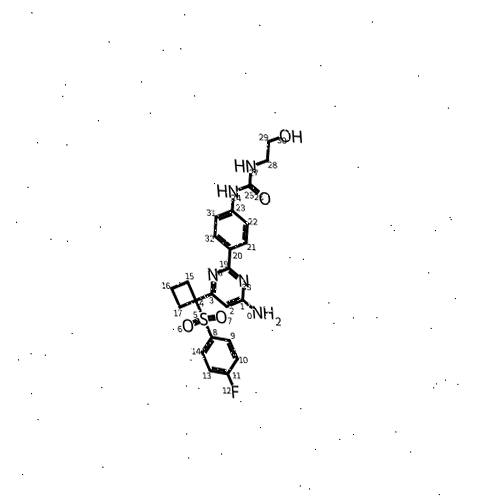 Nc1cc(C2(S(=O)(=O)c3ccc(F)cc3)CCC2)nc(-c2ccc(NC(=O)NCCO)cc2)n1